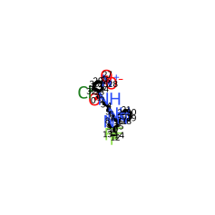 O=C(NCCCNc1ncc(C(F)(F)F)cc1N1CCCCC1)c1cc([N+](=O)[O-])ccc1Cl